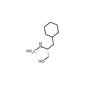 O=C(O)N[C@@H](CO)CC1CCCCC1